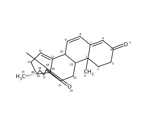 CC12CCC(=O)C=C1C=CC1C3=CC[C@@]4(C)CCC(=O)C34CCC12